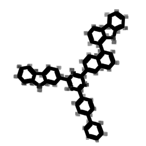 c1ccc(-c2ccc(-c3nc(-c4ccc5c(-c6cccc7c6sc6ccccc67)cccc5c4)nc(-c4ccc5c(c4)oc4ccccc45)n3)cc2)cc1